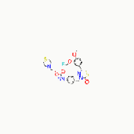 COc1ccc(C2=NN(Cc3ccc(NC(=O)OCCN4CCSCC4)cc3)C(=O)SC2)cc1OCF